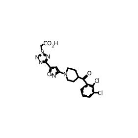 O=C(O)Cn1nnc(-c2cc(N3CCC(C(=O)c4cccc(Cl)c4Cl)CC3)no2)n1